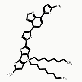 CCCCCCCC[Si]1(CCCCCCCC)c2cc(C)sc2-c2sc(-c3ccc(-c4ccc(-c5ccc(C)s5)c5nsnc45)s3)cc21